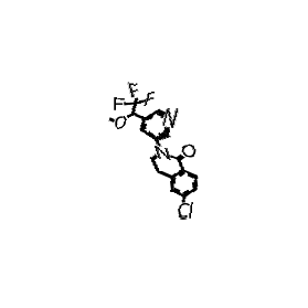 COC(c1cncc(N2CCc3cc(Cl)ccc3C2=O)c1)C(F)(F)F